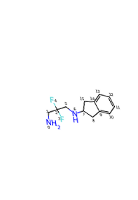 NCC(F)(F)CNC1Cc2ccccc2C1